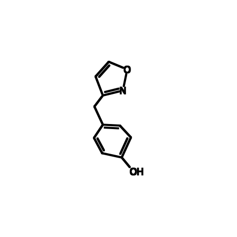 Oc1ccc(Cc2ccon2)cc1